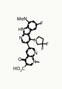 CNc1cc(F)cc2c1[nH]c1ncc(-c3cnc4c(c3)c(=O)c(C(=O)O)cn4C)c(N3CCC(F)(F)C3)c12